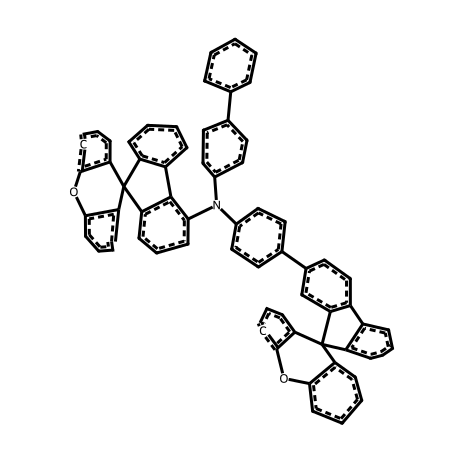 c1ccc(-c2ccc(N(c3ccc(-c4ccc5c(c4)C4(c6ccccc6Oc6ccccc64)c4ccccc4-5)cc3)c3cccc4c3-c3ccccc3C43c4ccccc4Oc4ccccc43)cc2)cc1